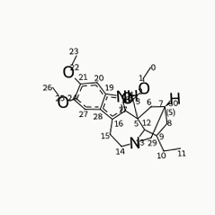 CCOC(=O)C12C[C@@H]3CC(CC)C1N(CCc1c2[nH]c2cc(OC)c(OC)cc12)C3